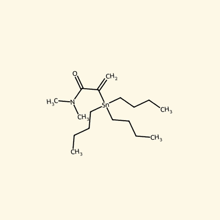 C=[C](C(=O)N(C)C)[Sn]([CH2]CCC)([CH2]CCC)[CH2]CCC